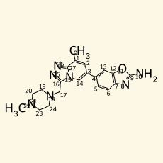 Cc1cc(-c2ccc3nc(N)oc3c2)cn2c(CN3CCN(C)CC3)nnc12